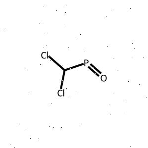 O=PC(Cl)Cl